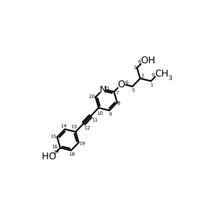 CCC(CO)COc1ccc(C#Cc2ccc(O)cc2)cn1